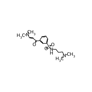 CN(C)/C=C/C(=O)c1cccc(S(=O)(=O)NCCCN(C)C)c1